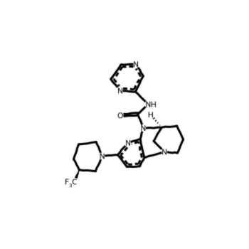 O=C(Nc1cnccn1)N1c2nc(N3CCC[C@H](C(F)(F)F)C3)ccc2N2CCC[C@H]1C2